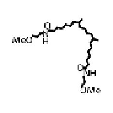 COCCCNC(=O)CCCCCCC(C)CCCCC(C)CCCCCCC(=O)NCCCOC